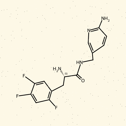 Nc1ccc(CNC(=O)[C@@H](N)Cc2cc(F)c(F)cc2F)cn1